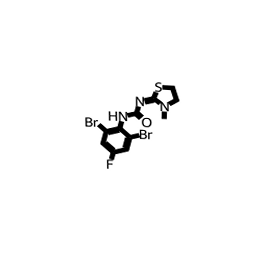 CN1CCSC1=NC(=O)Nc1c(Br)cc(F)cc1Br